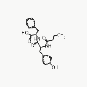 CCCC(=O)NC(Cc1ccc(O)cc1)C(=O)NC(Cc1ccccc1)C(=O)O